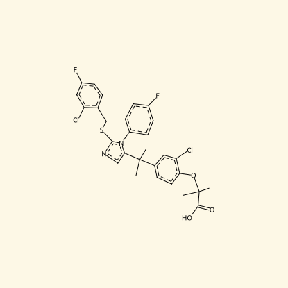 CC(C)(Oc1ccc(C(C)(C)c2cnc(SCc3ccc(F)cc3Cl)n2-c2ccc(F)cc2)cc1Cl)C(=O)O